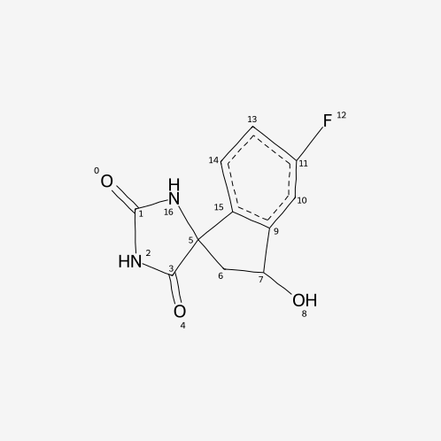 O=C1NC(=O)C2(CC(O)c3cc(F)ccc32)N1